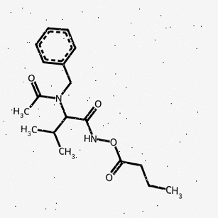 CCCC(=O)ONC(=O)C(C(C)C)N(Cc1ccccc1)C(C)=O